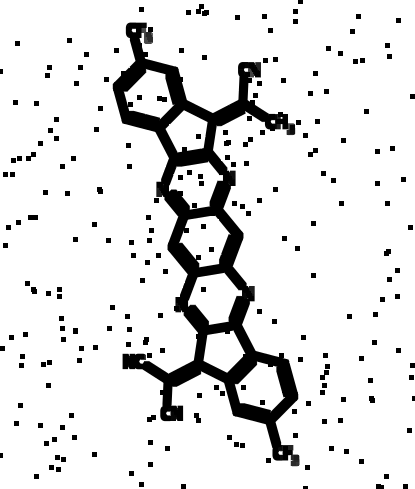 C/C(C#N)=C1/c2cc(C(F)(F)F)ccc2-c2nc3cc4nc5c(nc4cc3nc21)-c1ccc(C(F)(F)F)cc1C5=C(C#N)C#N